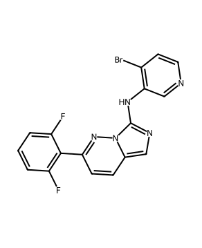 Fc1cccc(F)c1-c1ccc2cnc(Nc3cnccc3Br)n2n1